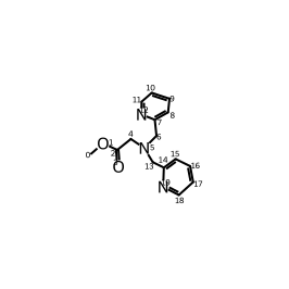 COC(=O)CN(Cc1ccccn1)Cc1ccccn1